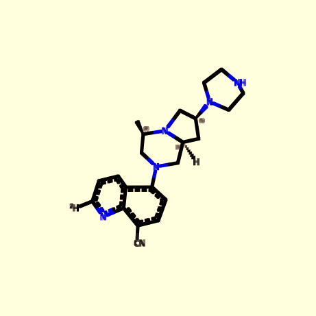 [2H]c1ccc2c(N3C[C@@H]4C[C@H](N5CCNCC5)CN4[C@H](C)C3)ccc(C#N)c2n1